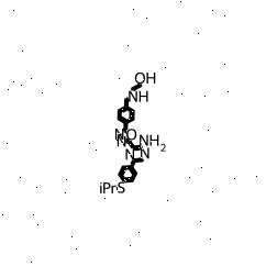 CC(C)Sc1ccc(-c2cnc(N)c(-c3nnc(-c4ccc(CNCCO)cc4)o3)n2)cc1